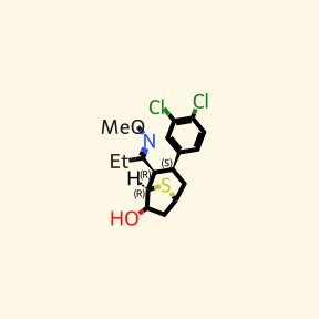 CCC(=NOC)[C@H]1[C@@H](c2ccc(Cl)c(Cl)c2)CC2CC(O)[C@@H]1S2